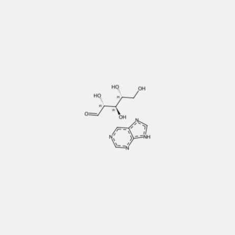 O=C[C@H](O)[C@H](O)[C@H](O)CO.c1ncc2nc[nH]c2n1